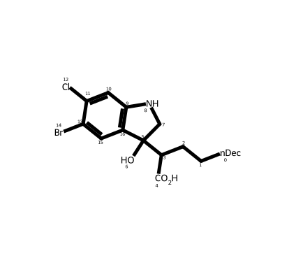 CCCCCCCCCCCCC(C(=O)O)C1(O)CNc2cc(Cl)c(Br)cc21